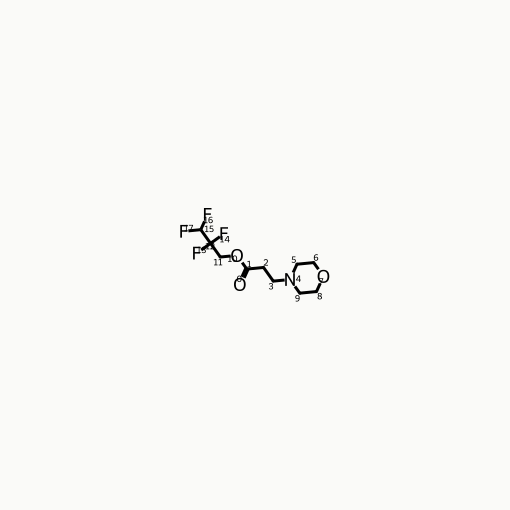 O=C(CCN1CCOCC1)OCC(F)(F)C(F)F